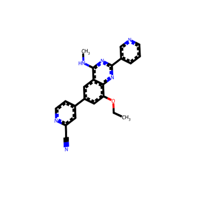 CCOc1cc(-c2ccnc(C#N)c2)cc2c(NC)nc(-c3cccnc3)nc12